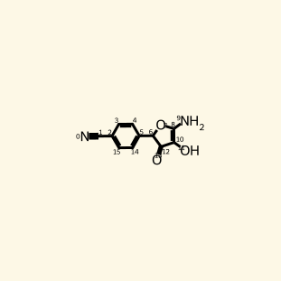 N#Cc1ccc(C2OC(N)=C(O)C2=O)cc1